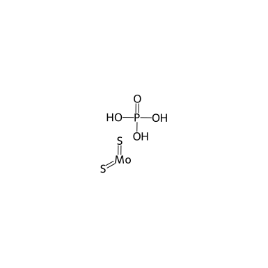 O=P(O)(O)O.[S]=[Mo]=[S]